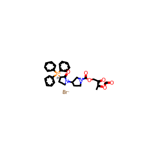 Cc1oc(=O)oc1COC(=O)N1CCC(N2CC[C@@H]([P+](c3ccccc3)(c3ccccc3)c3ccccc3)C2=O)C1.[Br-]